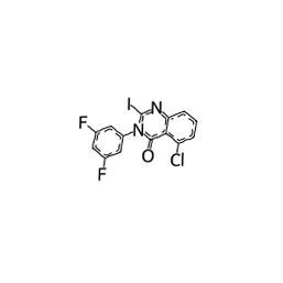 O=c1c2c(Cl)cccc2nc(I)n1-c1cc(F)cc(F)c1